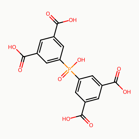 O=C(O)c1cc(C(=O)O)cc(P(=O)(O)c2cc(C(=O)O)cc(C(=O)O)c2)c1